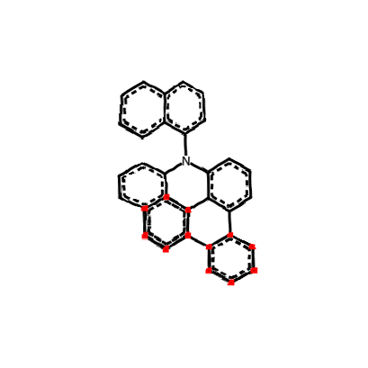 c1ccc(-c2ccccc2-c2c(-c3ccccc3)cccc2N(c2cccc3ccccc23)c2cccc3ccccc23)cc1